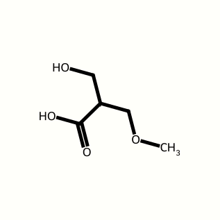 COC[C](CO)C(=O)O